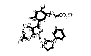 C1=NCCN1c1ccccc1.CCOC(=O)COc1cc(-c2nn(C)c(OC(F)F)c2Cl)c(F)cc1Cl